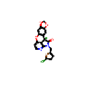 O=C1N(CC2=CCC(Cl)S2)c2nccc3c2C1(F)c1cc2c(cc1O3)OCO2